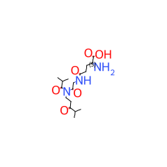 CC(C)C(=O)CCN(C(=O)CNC(=O)CC[C@H](N)C(=O)O)C(=O)C(C)C